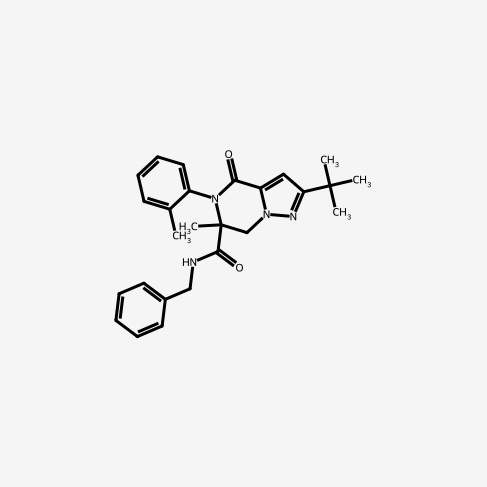 Cc1ccccc1N1C(=O)c2cc(C(C)(C)C)nn2CC1(C)C(=O)NCc1ccccc1